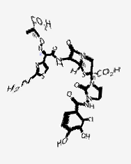 C[C@@H](O/N=C(\C(=O)NC1C(=O)N2C[C@@](C(=O)O)(N3CCN(NC(=O)c4ccc(O)c(O)c4Cl)C3=O)S[C@H]12)c1csc(N)n1)C(=O)O